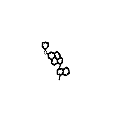 Cc1ccc(-c2ccc3ccc4cc(Oc5ccccc5)cc5ccc2c3c45)c2ccccc12